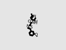 COc1cccc(-c2cnc(C(=O)N[C@H]3CN4CCC3CC4C)s2)c1